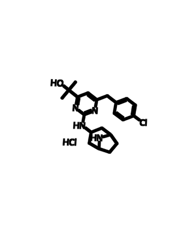 CC(C)(O)c1cc(Cc2ccc(Cl)cc2)nc(NC2CC3CCC(C2)N3)n1.Cl